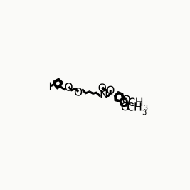 CC1(C)OCc2cc([C@@H]3CN(CCCCCCOCCOCc4cccc(I)c4)C(=O)O3)ccc2O1